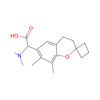 Cc1c(C(C(=O)O)N(C)C)cc2c(c1C)OC1(CCC1)CC2